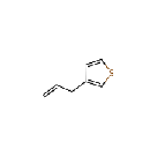 C=CCc1[c]scc1